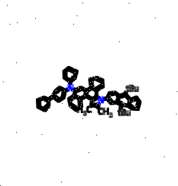 Cc1c(C)n(-c2ccc3c(C(C)(C)C)c4ccccc4c(C(C)(C)C)c3c2)c2c3ccccc3c3cc(N(c4ccccc4)c4ccc(-c5ccccc5)cc4)c4ccccc4c3c12